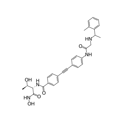 Cc1ccccc1C(C)NCC(=O)Nc1ccc(C#Cc2ccc(C(=O)N[C@H](C(=O)NO)[C@@H](C)O)cc2)cc1